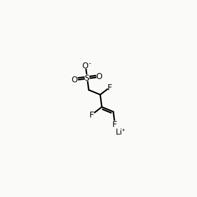 O=S(=O)([O-])CC(F)C(F)=CF.[Li+]